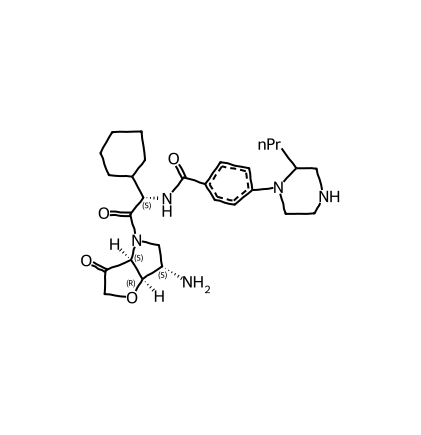 CCCC1CNCCN1c1ccc(C(=O)N[C@H](C(=O)N2C[C@H](N)[C@H]3OCC(=O)[C@H]32)C2CCCCC2)cc1